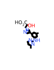 Cc1cc(Nc2nccc(C)n2)cc(-c2cnn(C[C@H](O)C(=O)O)c2)c1